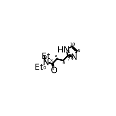 CCN(CC)C(=O)CCc1ncc[nH]1